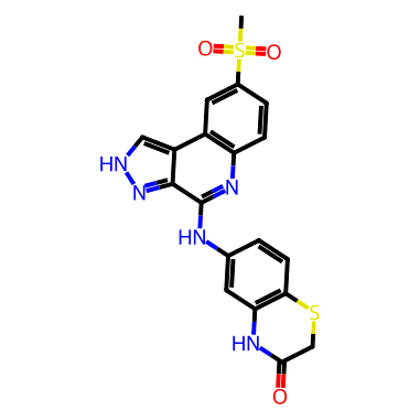 CS(=O)(=O)c1ccc2nc(Nc3ccc4c(c3)NC(=O)CS4)c3n[nH]cc3c2c1